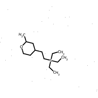 CCS(CC)(CC)CCC1CCOC(C)C1